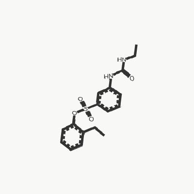 CCNC(=O)Nc1cccc(S(=O)(=O)Oc2ccccc2CC)c1